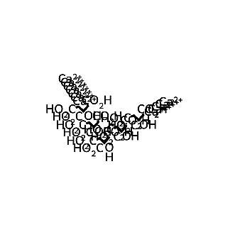 O=C(O)CC(O)(CC(=O)O)C(=O)O.O=C(O)CC(O)(CC(=O)O)C(=O)O.O=C(O)CC(O)(CC(=O)O)C(=O)O.O=C(O)CC(O)(CC(=O)O)C(=O)O.O=C(O)CC(O)(CC(=O)O)C(=O)O.[Ca+2].[Ca+2].[Ca+2].[Ca+2].[Ca+2].[Ca+2].[Ca+2].[Ca+2].[Ca+2].[Ca+2].[Ca+2].[Ca+2]